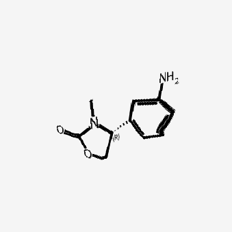 CN1C(=O)OC[C@H]1c1cccc(N)c1